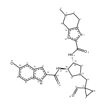 CN1CCc2nc(C(=O)N[C@@H]3CN(CC4(C=O)CC4)C[C@H]3NC(=O)c3cc4cc(Cl)ccc4[nH]3)sc2C1